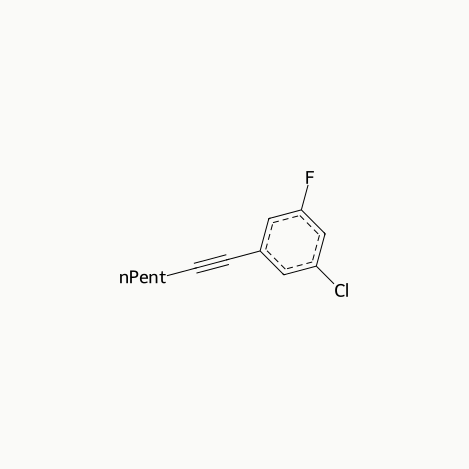 CCCCCC#Cc1cc(F)cc(Cl)c1